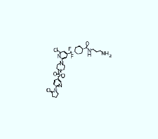 NCCCNC(=O)[C@H]1CC[C@H](C(F)(F)c2cc(Cl)nc(N3CCN(S(=O)(=O)c4ccc(N5CCCC5=O)nc4)CC3)c2)CC1